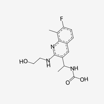 Cc1c(F)ccc2cc(C(C)NC(=O)O)c(NCCO)nc12